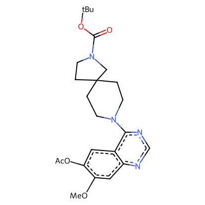 COc1cc2ncnc(N3CCC4(CCN(C(=O)OC(C)(C)C)C4)CC3)c2cc1OC(C)=O